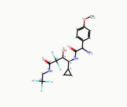 COc1ccc(C(N)C(=O)N[C@@H](C2CC2)C(O)C(F)(F)C(=O)NCC(F)(F)F)cc1